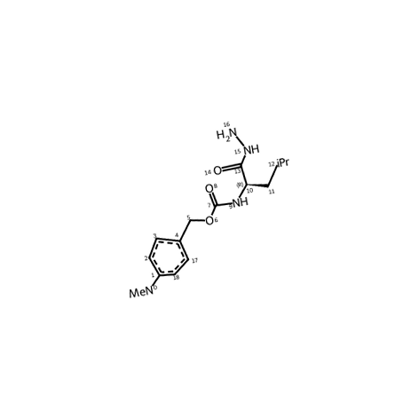 CNc1ccc(COC(=O)N[C@H](CC(C)C)C(=O)NN)cc1